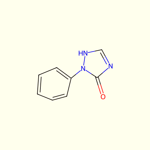 O=c1nc[nH]n1-c1ccccc1